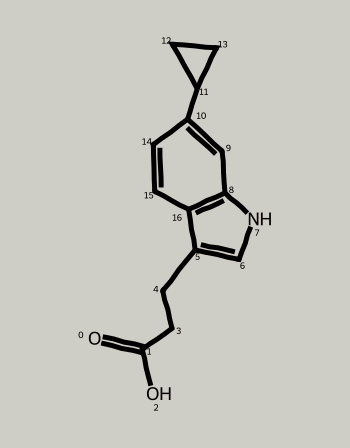 O=C(O)CCc1c[nH]c2cc(C3CC3)ccc12